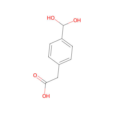 O=C(O)Cc1ccc(C(O)O)cc1